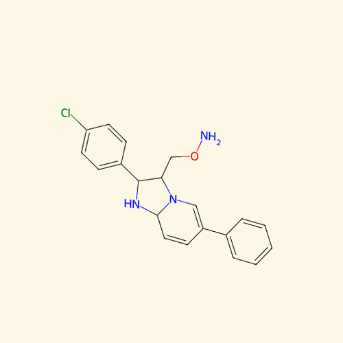 NOCC1C(c2ccc(Cl)cc2)NC2C=CC(c3ccccc3)=CN21